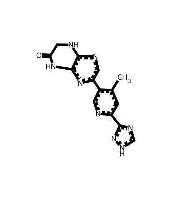 Cc1cc(-c2nc[nH]n2)ncc1-c1cnc2c(n1)NC(=O)CN2